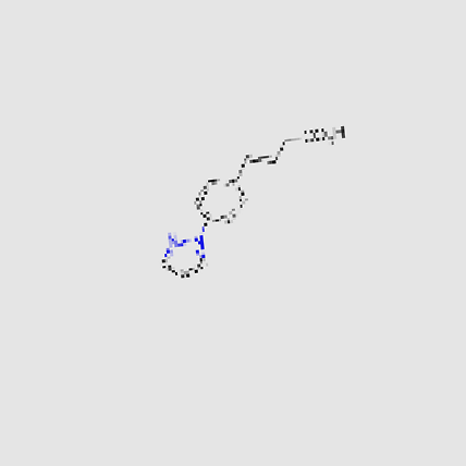 O=C(O)CC=Cc1ccc(-n2cccn2)cc1